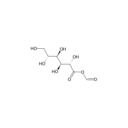 O=COC(=O)[C@@H](O)[C@@H](O)[C@H](O)[C@H](O)CO